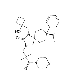 CN(C)[C@]1(c2ccccc2)CC[C@@]2(CC1)CN(CC(C)(C)C(=O)N1CCSCC1)C(=O)N2CC1(O)CCC1